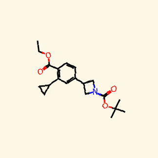 CCOC(=O)c1ccc(C2CN(C(=O)OC(C)(C)C)C2)cc1C1CC1